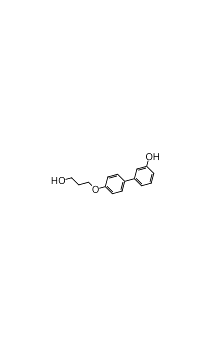 OCCCOc1ccc(-c2cccc(O)c2)cc1